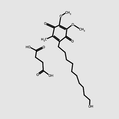 COC1=C(OC)C(=O)C(CCCCCCCCCCO)=C(C)C1=O.O=C(O)CCC(=O)O